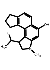 CC(Cl)C1CN(C)c2cc(O)c3ccc4c(c3c21)CCC4